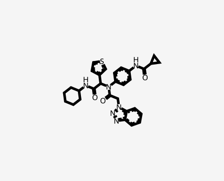 O=C(Nc1ccc(N(C(=O)Cn2nnc3ccccc32)C(C(=O)NC2CCCCC2)c2ccsc2)cc1)C1CC1